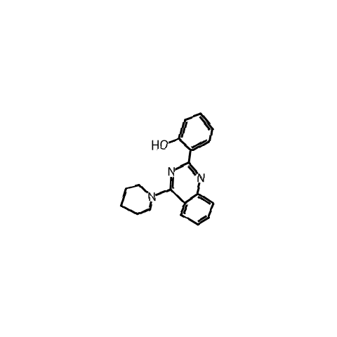 Oc1ccccc1-c1nc(N2CCCCC2)c2ccccc2n1